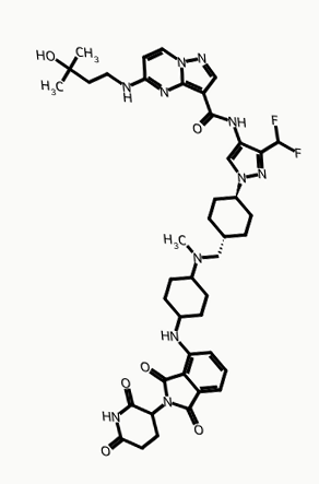 CN(C[C@H]1CC[C@H](n2cc(NC(=O)c3cnn4ccc(NCCC(C)(C)O)nc34)c(C(F)F)n2)CC1)C1CCC(Nc2cccc3c2C(=O)N(C2CCC(=O)NC2=O)C3=O)CC1